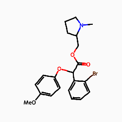 COc1ccc(OC(C(=O)OCC2CCCN2C)c2ccccc2Br)cc1